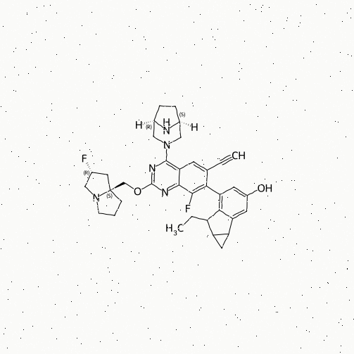 C#Cc1cc2c(N3C[C@H]4CC[C@@H](C3)N4)nc(OC[C@@]34CCCN3C[C@H](F)C4)nc2c(F)c1-c1cc(O)cc2c1C(CC)C1CC21